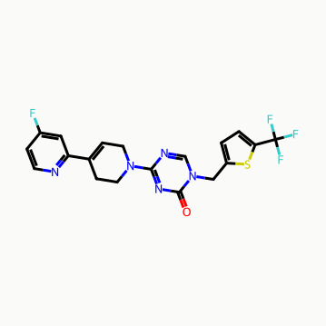 O=c1nc(N2CC=C(c3cc(F)ccn3)CC2)ncn1Cc1ccc(C(F)(F)F)s1